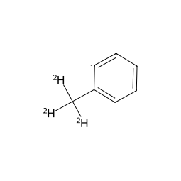 [2H]C([2H])([2H])c1[c]cccc1